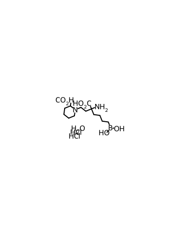 Cl.Cl.NC(CCCCB(O)O)(CCN1CCCCC1C(=O)O)C(=O)O.O